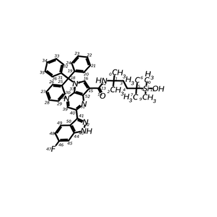 CC(C)(CCC(C)(C)[Si](C)(C)O)NC(=O)c1cn(C(c2ccccc2)(c2ccccc2)c2ccccc2)c2ncc(-c3n[nH]c4cc(F)ccc34)nc12